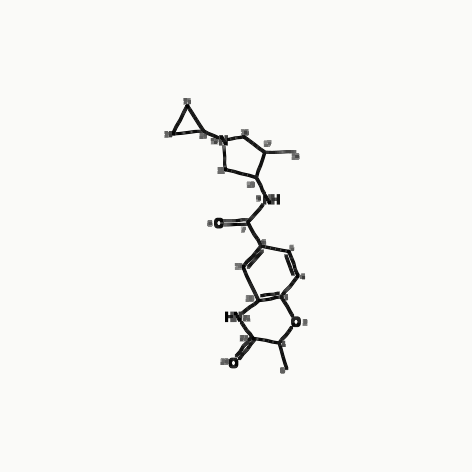 CC1Oc2ccc(C(=O)NC3CN(C4CC4)CC3C)cc2NC1=O